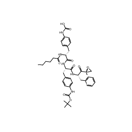 CCCCCC(=O)N[C@H](Cc1ccc(NC(=O)O)cc1)C(=O)N[C@@H](Cc1ccc(NC(=O)OC(C)(C)C)cc1)C(=O)N[C@@H](Cc1ccccc1)C(=O)[C@@]1(C)CO1